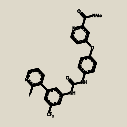 CNC(=O)c1cc(Oc2ccc(NC(=O)Nc3cc(-c4cccnc4F)cc(C(F)(F)F)c3)cc2)ccn1